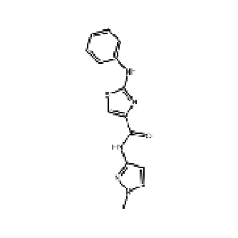 Cn1ccc(NC(=O)c2csc(Nc3ccccc3)n2)n1